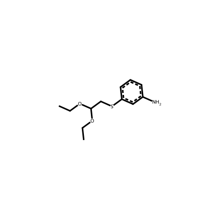 CCOC(CSc1cccc(N)c1)OCC